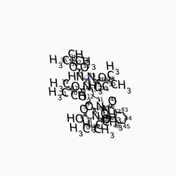 CC(C)C(C(=O)O)N(C(=O)N(CCCN(C(=O)OC(C)(C)C)/C(=N\C(=O)OC(C)(C)C)NC(=O)OC(C)(C)C)N1C(=O)c2ccccc2C1=O)C(C)(C)C